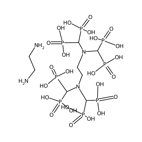 NCCN.O=P(O)(O)C(N(CCN(C(P(=O)(O)O)P(=O)(O)O)C(P(=O)(O)O)P(=O)(O)O)C(P(=O)(O)O)P(=O)(O)O)P(=O)(O)O